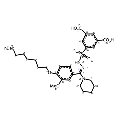 CCCCCCCCCCCCCCCCOc1ccc(/C(=N\NS(=O)(=O)c2cc(C(=O)O)cc(C(=O)O)c2)N2CCCCC2)cc1OC